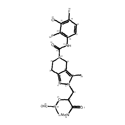 CNC(=O)C(Cn1nc2c(c1C)CN(C(=O)Nc1ccc(F)c(Cl)c1F)CC2)ON(C)C=O